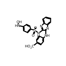 O=C(O)c1ccc(Nc2nc3ccccc3nc2NS(=O)(=O)c2ccc(NO)cc2)cc1